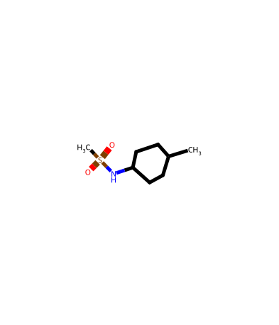 CC1CCC(NS(C)(=O)=O)CC1